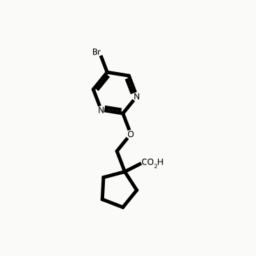 O=C(O)C1(COc2ncc(Br)cn2)CCCC1